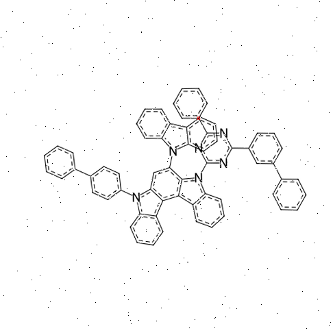 c1ccc(-c2ccc(-n3c4ccccc4c4c5c6ccccc6n(-c6nc(-c7ccccc7)nc(-c7cccc(-c8ccccc8)c7)n6)c5c(-n5c6ccccc6c6ccccc65)cc43)cc2)cc1